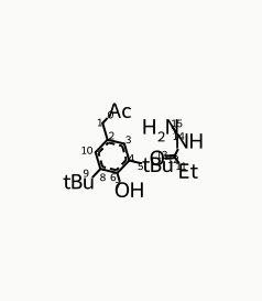 CC(=O)Cc1cc(C(C)(C)C)c(O)c(C(C)(C)C)c1.CCC(=O)NN